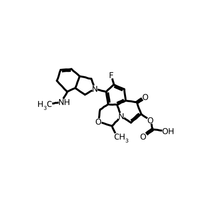 CNC1CC=CC2CN(c3c(F)cc4c(=O)c(OC(=O)O)cn5c4c3COC5C)CC21